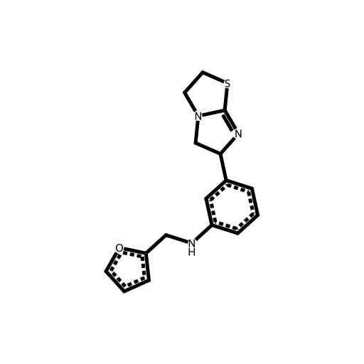 c1cc(NCc2ccco2)cc(C2CN3CCSC3=N2)c1